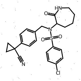 N#CC1(c2ccc(CN(C3CCCCNC3=O)S(=O)(=O)c3ccc(Cl)cc3)cc2)CC1